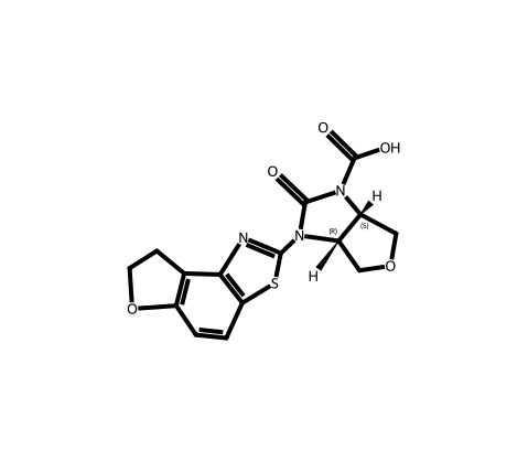 O=C(O)N1C(=O)N(c2nc3c4c(ccc3s2)OCC4)[C@H]2COC[C@H]21